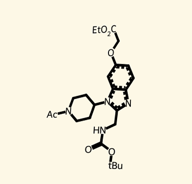 CCOC(=O)COc1ccc2nc(CNC(=O)OC(C)(C)C)n(C3CCN(C(C)=O)CC3)c2c1